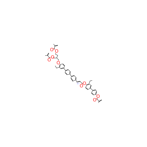 C=C(C)C(=O)OCCC(COC(=O)C(=C)C)COc1ccc(-c2ccc(-c3ccc(/C=C/C(=O)Oc4ccc(-c5ccc(OC(=O)C(=C)C)cc5)cc4CC)cc3)cc2)cc1CC